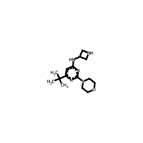 CC(C)(C)c1cc(NC2CNC2)nc(N2CCOCC2)n1